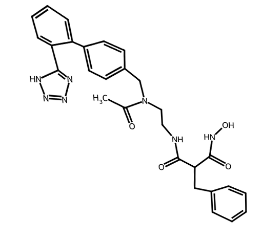 CC(=O)N(CCNC(=O)C(Cc1ccccc1)C(=O)NO)Cc1ccc(-c2ccccc2-c2nnn[nH]2)cc1